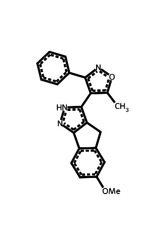 COc1ccc2c(c1)Cc1c-2n[nH]c1-c1c(-c2ccccc2)noc1C